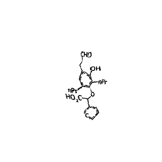 CCCc1cc(CCC=O)c(O)c(CCC)c1OC(C(=O)O)c1ccccc1